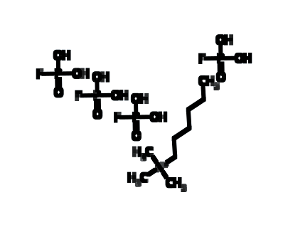 CCCCCC[N+](C)(C)C.O=P(O)(O)F.O=P(O)(O)F.O=P(O)(O)F.O=P(O)(O)F